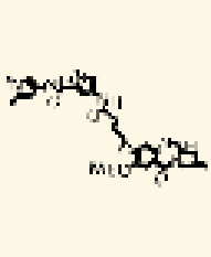 C=C1C[C@H]2C=Nc3cc(OCCCC(=O)Nc4cc(C(=O)Nc5cc(C)n(C)c5)n(C)c4)c(OC)cc3C(=O)N2C1